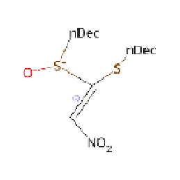 CCCCCCCCCCS/C(=C\[N+](=O)[O-])[S+]([O-])CCCCCCCCCC